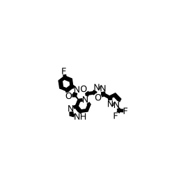 O=C(c1nnc(-c2ccn(C(F)F)n2)o1)N1CCc2[nH]cnc2[C@H]1c1nc2cc(F)ccc2o1